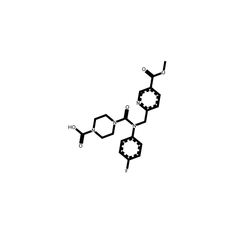 COC(=O)c1ccc(CN(C(=O)N2CCN(C(=O)O)CC2)c2ccc(F)cc2)nc1